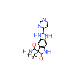 CC1(C(N)=O)C(=O)Nc2cc3c(cc21)NC(c1ccncn1)N3